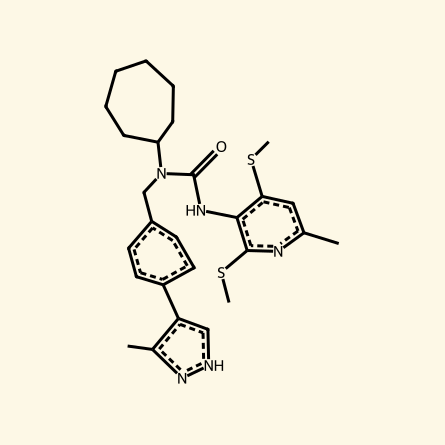 CSc1cc(C)nc(SC)c1NC(=O)N(Cc1ccc(-c2c[nH]nc2C)cc1)C1CCCCCC1